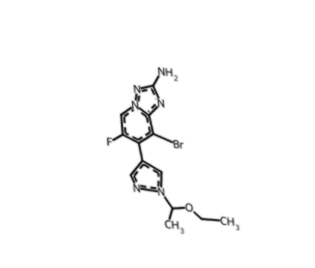 CCOC(C)n1cc(-c2c(F)cn3nc(N)nc3c2Br)cn1